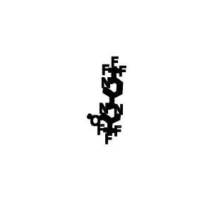 COc1nc(-c2ccc(C(F)(F)F)nc2)ncc1C(F)(F)F